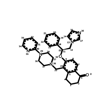 O=C1CCCc2c1ccc(O[C@H](Cn1ccnc1)c1ccccc1)c2CN1CCN(c2ccccn2)CC1